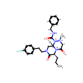 CCC[C@H]1C(=O)N(CCc2ccc(F)cc2)C[C@H]2N1C(=O)CN(C)N2C(=O)NCc1ccccc1